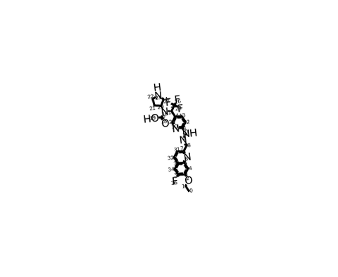 CCOc1cc2nc(/C=N/Nc3ccc([C@@H](N(C(=O)O)[C@H]4CCNC4)C(F)(F)F)cn3)ccc2cc1F